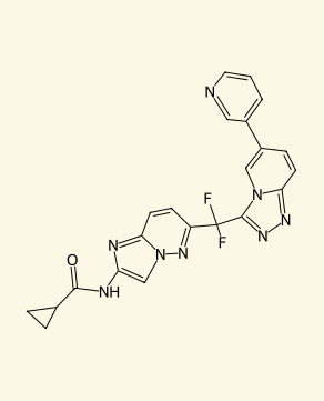 O=C(Nc1cn2nc(C(F)(F)c3nnc4ccc(-c5cccnc5)cn34)ccc2n1)C1CC1